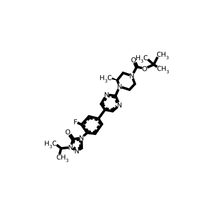 CC(C)n1ncn(-c2ccc(-c3cnc(N4CCN(C(=O)OC(C)(C)C)C[C@@H]4C)nc3)cc2F)c1=O